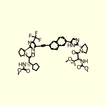 COC(=O)N[C@H](C(=O)N1CCC[C@H]1c1nc(C(F)(F)F)c(C#Cc2ccc3cc(-c4cnc([C@@H]5CCCN5C(=O)[C@@H](NC(=O)OC)[C@@H](C)OC)[nH]4)ccc3c2)[nH]1)C1CCCC1